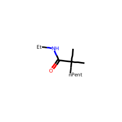 CCCCCC(C)(C)C(=O)NCC